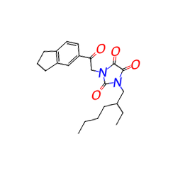 CCCCC(CC)CN1C(=O)C(=O)N(CC(=O)c2ccc3c(c2)CCC3)C1=O